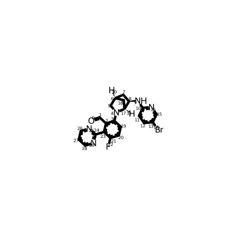 O=Cc1c(N2C[C@H]3C[C@@H](Nc4ccc(Br)cn4)[C@@H]2C3)ccc(F)c1-c1ncccn1